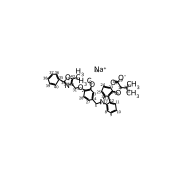 COc1cc(Cn2c3ccccc3c3c(O[C@H](C(=O)[O-])C(C)C)cccc32)ccc1OCc1nc(-c2ccccc2)oc1C.[Na+]